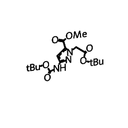 COC(=O)c1cc(NC(=O)OC(C)(C)C)nn1CC(=O)OC(C)(C)C